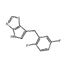 Fc1ccc(F)c(Cc2c[nH]c3ncsc23)c1